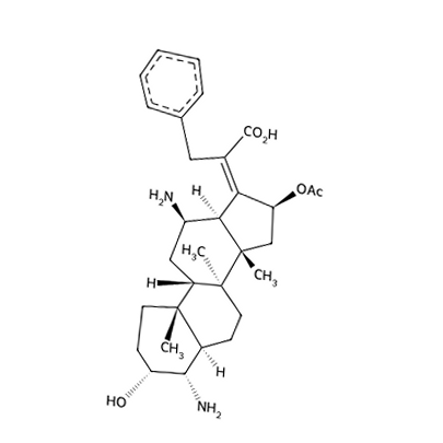 CC(=O)O[C@H]1C[C@@]2(C)[C@H](/C1=C(\Cc1ccccc1)C(=O)O)[C@H](N)C[C@H]1[C@@]3(C)CC[C@@H](O)[C@@H](N)[C@@H]3CC[C@@]12C